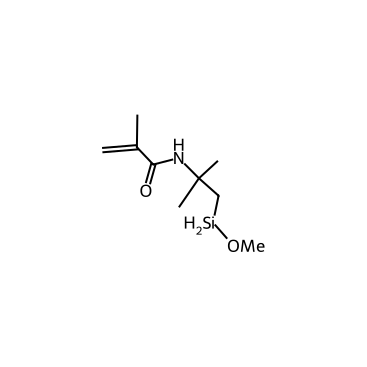 C=C(C)C(=O)NC(C)(C)C[SiH2]OC